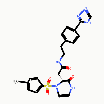 Cc1ccc(S(=O)(=O)N2C=CNC(=O)[C@H]2CC(=O)NCCc2ccc(-c3nnc[nH]3)cc2)cc1